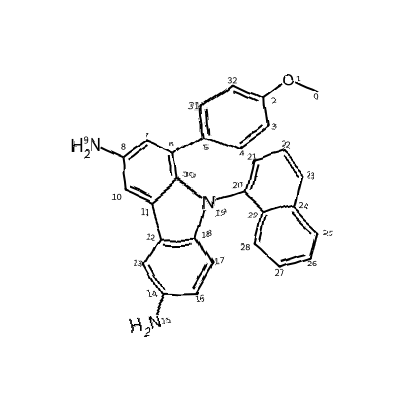 COc1ccc(-c2cc(N)cc3c4cc(N)ccc4n(-c4cccc5ccccc45)c23)cc1